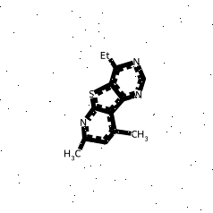 CCc1ncnc2c1sc1nc(C)cc(C)c12